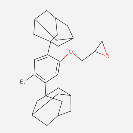 CCc1cc(C23CC4CC(CC(C4)C2)C3)c(OCC2CO2)cc1C12CC3CC(CC(C3)C1)C2